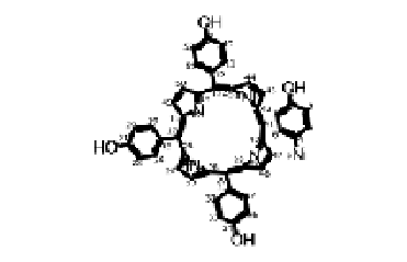 Oc1cc[c]([Ni])cc1.Oc1ccc(-c2c3nc(c(-c4ccc(O)cc4)c4ccc([nH]4)c(-c4ccc(O)cc4)c4nc(cc5ccc2[nH]5)C=C4)C=C3)cc1